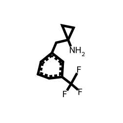 NC1(Cc2cccc(C(F)(F)F)c2)CC1